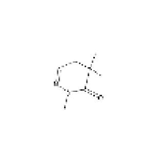 CN1N=CCC(C)(C)C1=O